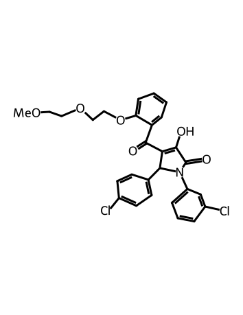 COCCOCCOc1ccccc1C(=O)C1=C(O)C(=O)N(c2cccc(Cl)c2)C1c1ccc(Cl)cc1